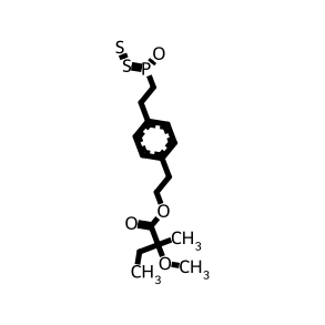 CCC(C)(OC)C(=O)OCCc1ccc(CCP(=O)=S=S)cc1